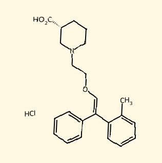 Cc1ccccc1C(=COCCN1CCC[C@@H](C(=O)O)C1)c1ccccc1.Cl